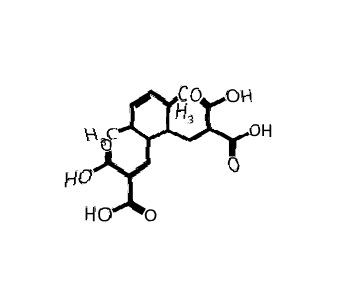 CC1C=CC(C)C(CC(C(=O)O)C(=O)O)C1CC(C(=O)O)C(=O)O